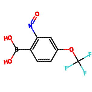 O=Nc1cc(OC(F)(F)F)ccc1B(O)O